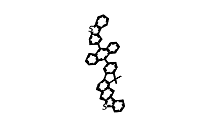 CC1(C)c2ccc(-c3c4ccccc4c(-c4ccc5sc6ccccc6c5c4)c4ccccc34)cc2-c2ccc3cc4sc5ccccc5c4cc3c21